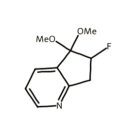 COC1(OC)c2cccnc2CC1F